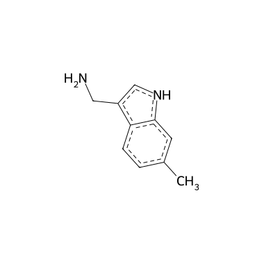 Cc1ccc2c(CN)c[nH]c2c1